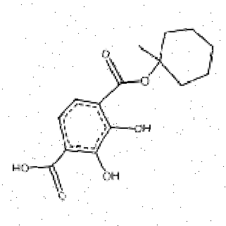 CC1(OC(=O)c2ccc(C(=O)O)c(O)c2O)CCCCC1